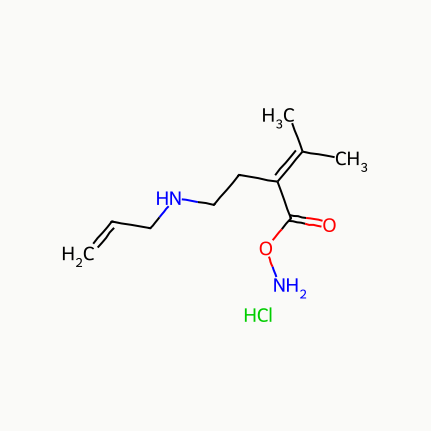 C=CCNCCC(C(=O)ON)=C(C)C.Cl